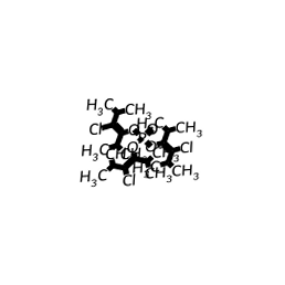 CC(C)/C(Cl)=C(\OP(=O)(O/C(=C(/Cl)C(C)C)C(C)C)O/C(=C(/Cl)C(C)C)C(C)C)C(C)C